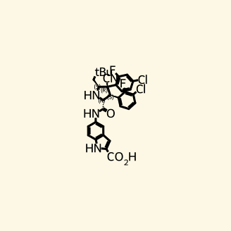 CC(C)(C)C[C@@H]1N[C@@H](C(=O)Nc2ccc3[nH]c(C(=O)O)cc3c2)[C@H](c2cccc(Cl)c2F)[C@@]1(C#N)c1ccc(Cl)cc1F